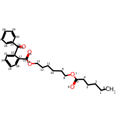 CCCCCC(=O)OCCCCCCOC(=O)c1ccccc1C(=O)c1ccccc1